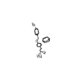 C1=CC2CCC1C2.O=C(O)C=Cc1ccc(OCc2ccc(Br)cc2)cc1